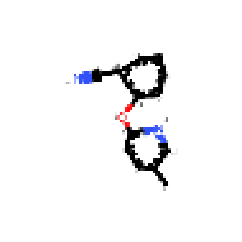 Cc1ccc(Oc2ccccc2C#N)nc1